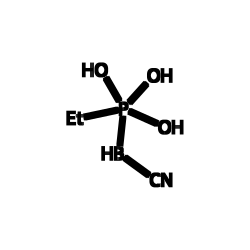 CCP(O)(O)(O)BC#N